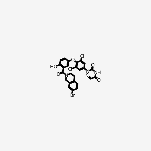 O=C(c1cc(Oc2c(Cl)cc(-n3ncc(=O)[nH]c3=O)cc2Cl)ccc1O)N1CCc2ccc(Br)cc2C1